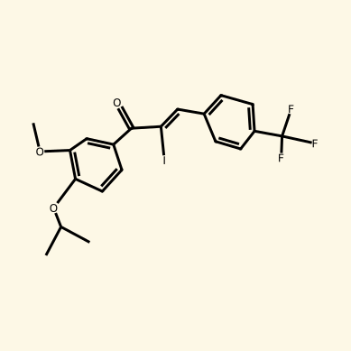 COc1cc(C(=O)C(I)=Cc2ccc(C(F)(F)F)cc2)ccc1OC(C)C